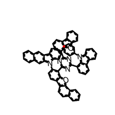 c1ccc(-n2c3ccccc3c3cccc(-c4nc(-c5cccc6c5oc5ccccc56)nc(-c5c(-n6c7ccccc7c7cc8ccccc8cc76)ccc6c5oc5c7ccccc7ccc65)n4)c32)cc1